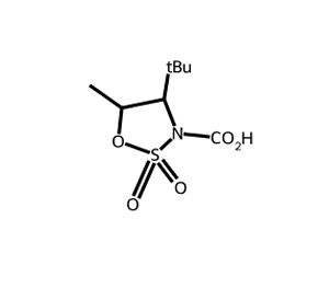 CC1OS(=O)(=O)N(C(=O)O)C1C(C)(C)C